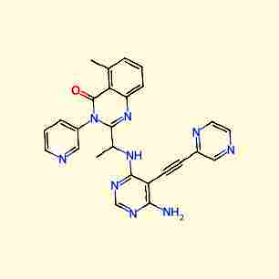 Cc1cccc2nc(C(C)Nc3ncnc(N)c3C#Cc3cnccn3)n(-c3cccnc3)c(=O)c12